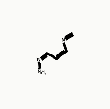 C=N/C=C\C=N/N